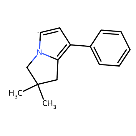 CC1(C)Cc2c(-c3ccccc3)c[c]n2C1